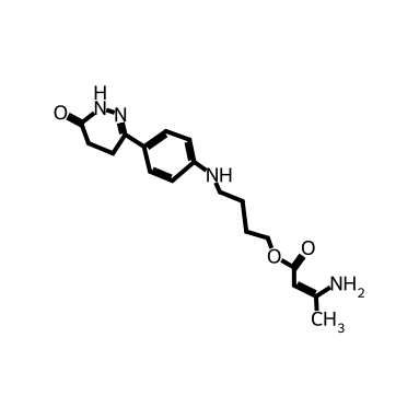 C/C(N)=C/C(=O)OCCCCNc1ccc(C2=NNC(=O)CC2)cc1